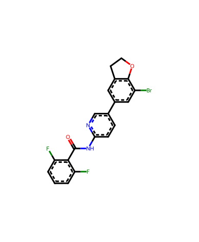 O=C(Nc1ccc(-c2cc(Br)c3c(c2)CCO3)cn1)c1c(F)cccc1F